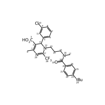 CC1=C(C(=O)O)C(c2cccc(Cl)c2)N(CCCN(C)C(=O)c2ccc(C(C)(C)C)cc2)C(C(F)(F)F)=N1